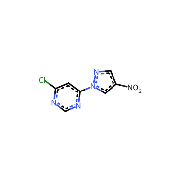 O=[N+]([O-])c1cnn(-c2cc(Cl)ncn2)c1